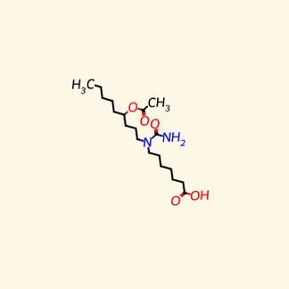 CCCCCC(CCCN(CCCCCCC(=O)O)C(N)=O)OC(C)=O